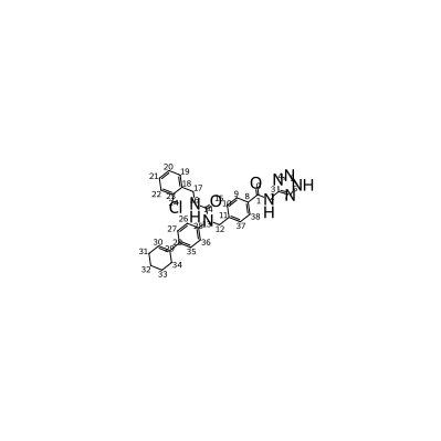 O=C(Nc1nn[nH]n1)c1ccc(CN(C(=O)NCc2ccccc2Cl)c2ccc(C3=CCCCC3)cc2)cc1